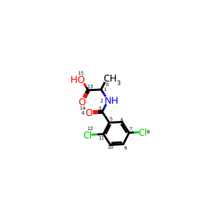 CC(NC(=O)c1cc(Cl)ccc1Cl)C(=O)O